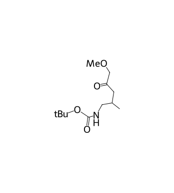 COCC(=O)CC(C)CNC(=O)OC(C)(C)C